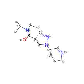 CC(C)N1CCc2nn(C3=CCCN=C3)cc2C1=O